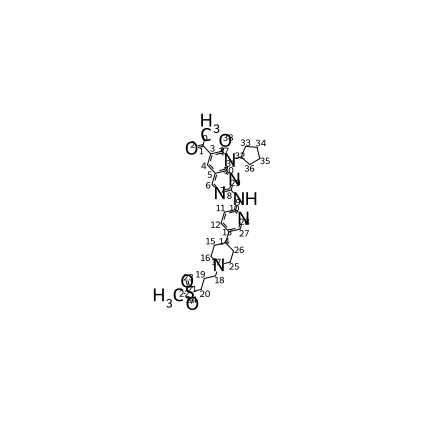 CC(=O)c1cc2cnc(Nc3ccc(C4CCN(CCCS(C)(=O)=O)CC4)cn3)nc2n(C2CCCC2)c1=O